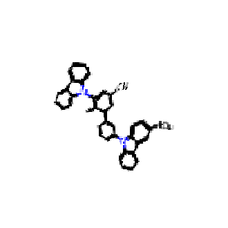 CC1C(n2c3ccccc3c3ccccc32)=CC(C#N)=CC1c1cccc(-n2c3ccccc3c3cc(C(C)(C)C)ccc32)c1